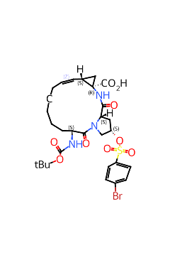 CC(C)(C)OC(=O)N[C@H]1CCCCC/C=C\[C@@H]2C[C@@]2(C(=O)O)NC(=O)[C@@H]2C[C@H](OS(=O)(=O)c3ccc(Br)cc3)CN2C1=O